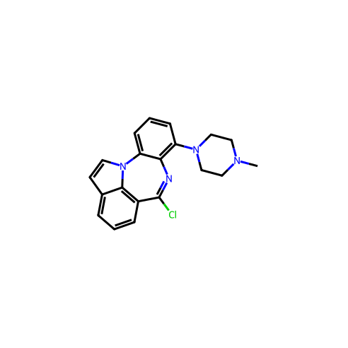 CN1CCN(c2cccc3c2N=C(Cl)c2cccc4ccn-3c24)CC1